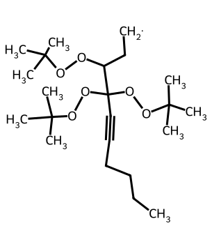 [CH2]CC(OOC(C)(C)C)C(C#CCCCC)(OOC(C)(C)C)OOC(C)(C)C